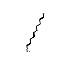 [CH2]C=CCCCC=CCC=CCC